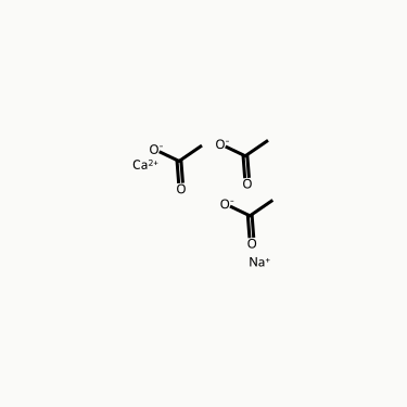 CC(=O)[O-].CC(=O)[O-].CC(=O)[O-].[Ca+2].[Na+]